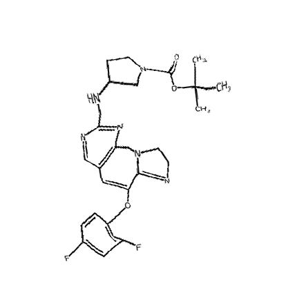 CC(C)(C)OC(=O)N1CCC(Nc2ncc3c(n2)N2CCN=C2C(Oc2ccc(F)cc2F)=C3)C1